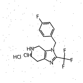 Cl.Cl.Fc1ccc(Cn2c(C(F)(F)F)nc3c2CNCC3)cc1